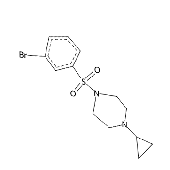 O=S(=O)(c1cccc(Br)c1)N1CCN(C2CC2)CC1